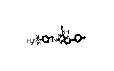 CCNc1nc(NCc2ccc(S(N)(=O)=O)cc2)nc2ccc(-c3ccc(F)cc3)nc12